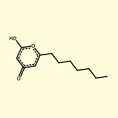 CCCCCCCc1cc(=O)cc(O)o1